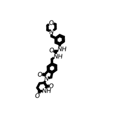 O=C1CCC(N2Cc3ccc(CNC(=O)Nc4cccc(CN5CCOCC5)c4)cc3C2=O)C(=O)N1